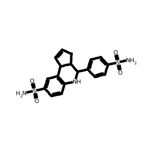 NS(=O)(=O)c1ccc(C2Nc3ccc(S(N)(=O)=O)cc3C3C=CCC32)cc1